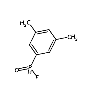 Cc1cc(C)cc([PH](=O)F)c1